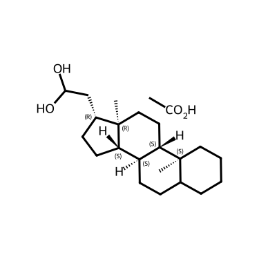 CC(=O)O.C[C@]12CC[C@H]3[C@@H](CCC4CCCC[C@@]43C)[C@@H]1CC[C@@H]2CC(O)O